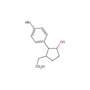 CCCCc1ccc(C2C(O)CCC2CC(=O)OCC)cc1